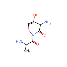 CC(N)C(=O)N1OC=C(O)C(N)C1=O